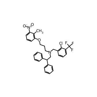 Cc1c(OCCCN(Cc2cccc(C(F)(F)F)c2Cl)CC(c2ccccc2)c2ccccc2)cccc1[N+](=O)[O-]